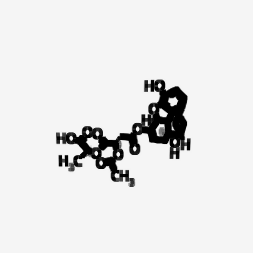 CC(=O)O[C@@H](CC(=O)OC1=CC[C@]2(O)[C@H]3CCC[C@]24c2c(ccc(O)c2O[C@H]14)C3)C(=O)O[C@@H](C)C(=O)O